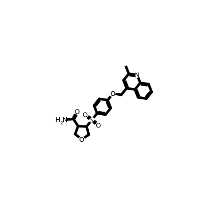 Cc1cc(COc2ccc(S(=O)(=O)C3COCC3C(N)=O)cc2)c2ccccc2n1